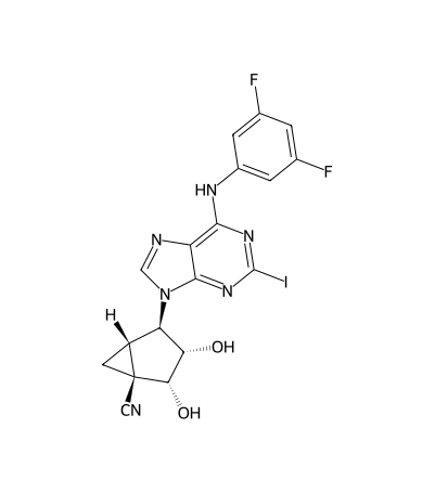 N#C[C@@]12C[C@@H]1[C@@H](n1cnc3c(Nc4cc(F)cc(F)c4)nc(I)nc31)[C@H](O)[C@@H]2O